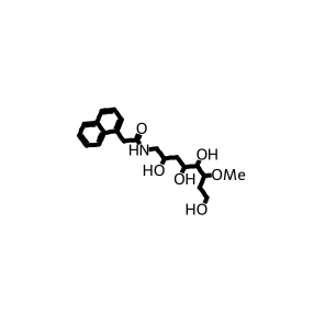 COC(CCO)C(O)C(O)CC(O)CNC(=O)Cc1cccc2ccccc12